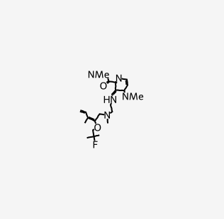 C=C/C(C)=C(\CN(C)CCN/C=C1/C(C(=O)NC)=NC=CC1NC)OCC(C)(C)F